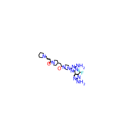 Nc1nc(-c2cnc(N)nc2C(F)F)nc(N2CCN(C(=O)CC3CCN(C(=O)/C=C/CN4CCCCC4)CC3)CC2)n1